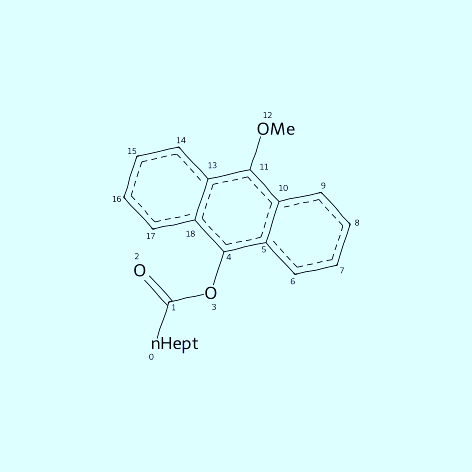 CCCCCCCC(=O)Oc1c2ccccc2c(OC)c2ccccc12